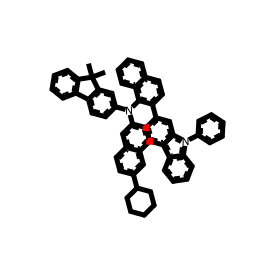 CC1(C)c2ccccc2-c2ccc(N(c3ccc4cc(C5CCCCC5)ccc4c3)c3c(-c4ccc5c6ccccc6n(-c6ccccc6)c5c4)ccc4ccccc34)cc21